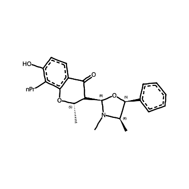 CCCc1c(O)ccc2c1O[C@@H](C)C([C@H]1O[C@@H](c3ccccc3)[C@@H](C)N1C)C2=O